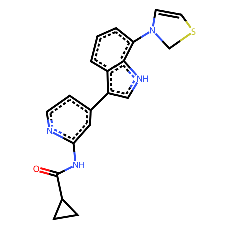 O=C(Nc1cc(-c2c[nH]c3c(N4C=CSC4)cccc23)ccn1)C1CC1